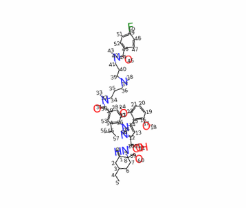 C=C1CC(CC)CCC1(NC(=O)c1cc(-c2c(OC)cccc2OC)n(-c2ccc(C(=O)N(C)CCCN(C)CCCN(C)C(=O)c3ccc(F)cc3)cc2C(C)C)n1)C(=O)O